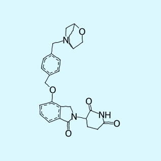 O=C1CCC(N2Cc3c(OCc4ccc(CN5CC6CCCC5CO6)cc4)cccc3C2=O)C(=O)N1